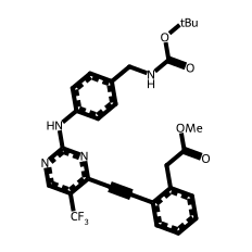 COC(=O)Cc1ccccc1C#Cc1nc(Nc2ccc(CNC(=O)OC(C)(C)C)cc2)ncc1C(F)(F)F